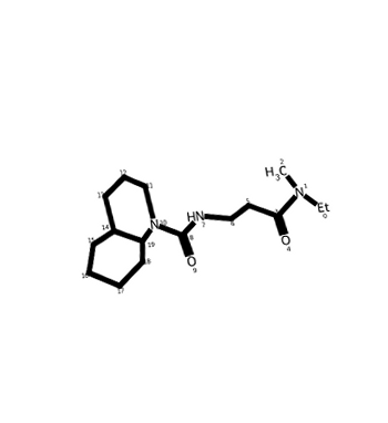 CCN(C)C(=O)CCNC(=O)N1CCCC2CCCCC21